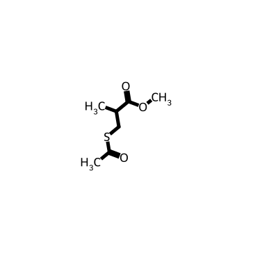 COC(=O)C(C)CSC(C)=O